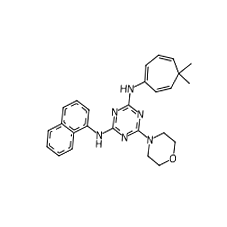 CC1(C)C=CC=C(Nc2nc(Nc3cccc4ccccc34)nc(N3CCOCC3)n2)C=C1